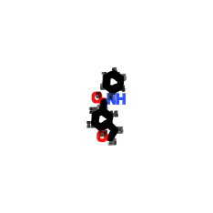 O=C(Nc1cc[c]cc1)c1ccc2c(c1)CCO2